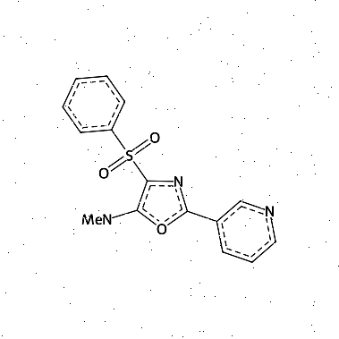 CNc1oc(-c2cccnc2)nc1S(=O)(=O)c1ccccc1